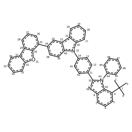 CC(C)(C)c1cccc2nc(-c3ccc(-n4c5ccccc5c5cc(-c6cccc7c6oc6ccccc67)ccc54)cc3)n(-c3ccccc3)c12